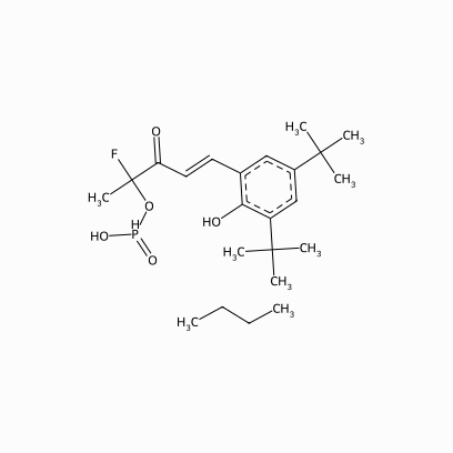 CC(F)(O[PH](=O)O)C(=O)/C=C/c1cc(C(C)(C)C)cc(C(C)(C)C)c1O.CCCC